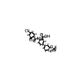 O=C(Nc1ccc(-c2cccc(OC(F)(F)F)c2)cc1C(=O)O)c1ccc(Cl)cc1Cl